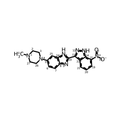 CN1CCN(c2ccc3nc(-c4n[nH]c5c([N+](=O)[O-])cccc45)[nH]c3c2)CC1